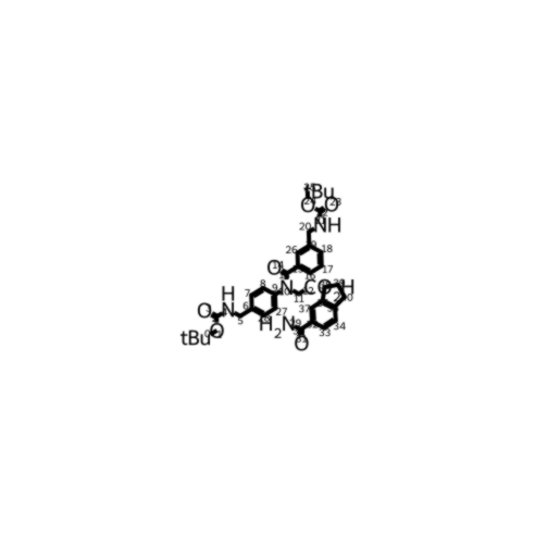 CC(C)(C)OC(=O)NCc1ccc(N(CC(=O)O)C(=O)c2cccc(CNC(=O)OC(C)(C)C)c2)cc1.NC(=O)c1ccc2c(c1)CCC2